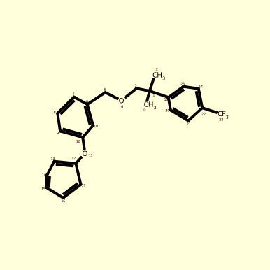 CC(C)(COCc1cccc(Oc2ccccc2)c1)c1ccc(C(F)(F)F)cc1